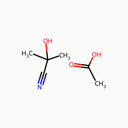 CC(=O)O.CC(C)(O)C#N